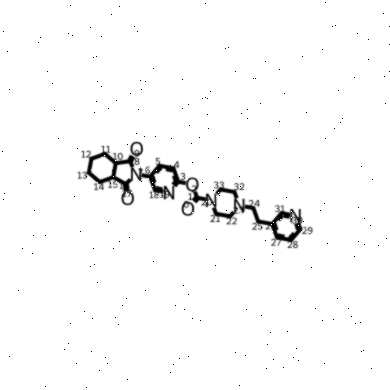 O=C(Oc1ccc(N2C(=O)C3CCCCC3C2=O)cn1)N1CCN(CCc2cccnc2)CC1